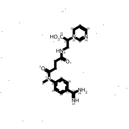 CN(C(=O)CCC(=O)NCC(C(=O)O)N1C=NC=CC1)c1ccc(C(=N)N)cc1